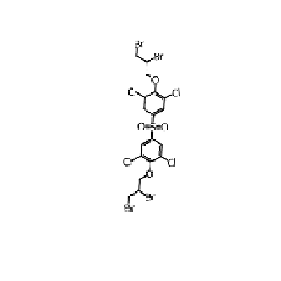 O=S(=O)(c1cc(Cl)c(OCC(Br)CBr)c(Cl)c1)c1cc(Cl)c(OCC(Br)CBr)c(Cl)c1